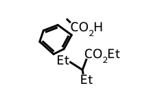 CC(=O)O.CCOC(=O)C(CC)CC.c1ccccc1